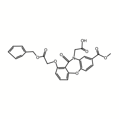 COC(=O)c1ccc2c(c1)N(CC(=O)O)C(=O)c1c(OCC(=O)OCc3ccccc3)cccc1O2